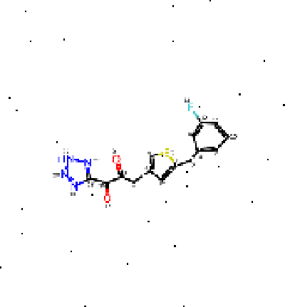 O=C(Cc1csc(Cc2cccc(F)c2)c1)C(=O)c1nn[nH]n1